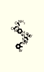 Cc1c(Br)cccc1CNc1ncc([N+](=O)[O-])c(NC[C@H]2CC[C@H](N(CC(N)=O)CC(N)=O)CC2)n1